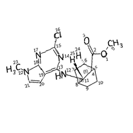 COC(=O)[C@H]1C2CCC(CC2)[C@@H]1Nc1nc(Cl)nc2c1ccn2C